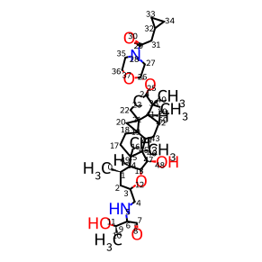 C[C@@H]1CC(CNC(C=O)[C@@H](C)O)OC2[C@H]1C1(C)CCC34CC35CCC(O[C@H]3CN(C(=O)CC6CC6)CCO3)C(C)(C)[C@@H]5CCC4[C@]1(C)[C@H]2O